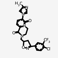 Cc1cn(-c2ccc3n(c2=O)CCN(CC2CC(c4ccc(Cl)c(C(F)(F)F)c4)=NO2)C3=O)cn1